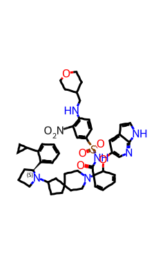 O=C(NS(=O)(=O)c1ccc(NCC2CCOCC2)c([N+](=O)[O-])c1)C1(N2CCC3(CCC(N4CCC[C@H]4c4ccccc4C4CC4)C3)CC2)C=CC=CC1Oc1cnc2[nH]ccc2c1